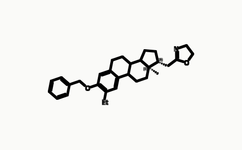 CCc1cc2c(cc1OCc1ccccc1)CCC1C2CC[C@@]2(C)C1CC[C@@H]2CC1=NCCO1